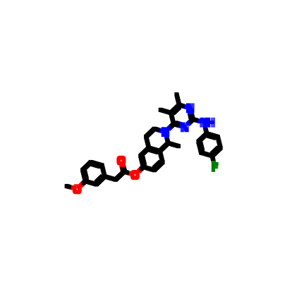 COc1cccc(CC(=O)Oc2ccc3c(c2)CCN(c2nc(Nc4ccc(F)cc4)nc(C)c2C)C3C)c1